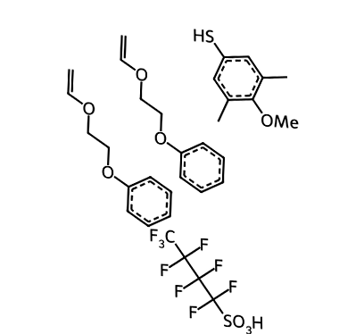 C=COCCOc1ccccc1.C=COCCOc1ccccc1.COc1c(C)cc(S)cc1C.O=S(=O)(O)C(F)(F)C(F)(F)C(F)(F)C(F)(F)F